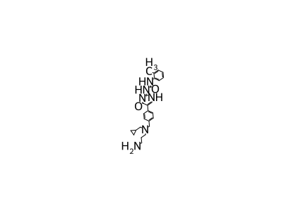 Cc1ccccc1NC(=O)Nc1nc(=O)c(-c2ccc(CN(CCCN)CC3CC3)cc2)c[nH]1